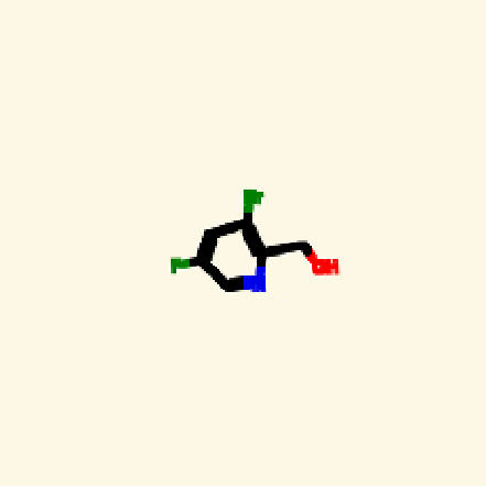 OCc1ncc(F)cc1Br